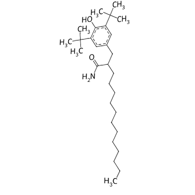 CCCCCCCCCCCCC(Cc1cc(C(C)(C)C)c(O)c(C(C)(C)C)c1)C(N)=O